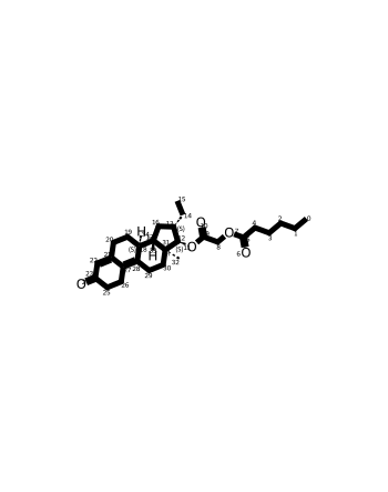 CCCCCC(=O)OCC(=O)O[C@H]1[C@@H](CC)C[C@H]2[C@@H]3CCC4=CC(=O)CCC4=C3CC[C@@]21C